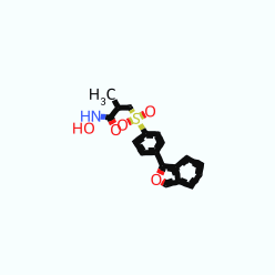 CC(CS(=O)(=O)c1ccc(-c2occ3ccccc23)cc1)C(=O)NO